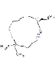 C[C@@H]1CCCCC(C)(C)C/C=N\1